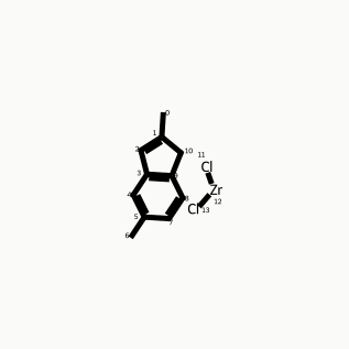 CC1=Cc2cc(C)ccc2[CH]1.[Cl][Zr][Cl]